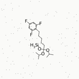 CC(C)OC(CCCCCc1c(F)cc(F)cc1F)(O[SiH3])OC(C)C